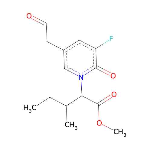 CCC(C)C(C(=O)OC)n1cc(CC=O)cc(F)c1=O